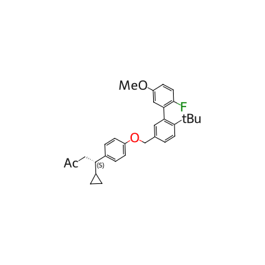 COc1ccc(F)c(-c2cc(COc3ccc([C@@H](CC(C)=O)C4CC4)cc3)ccc2C(C)(C)C)c1